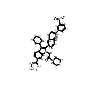 COC(=O)c1ccc2c(C3CCCCC3)c(-c3ccc4nc(-c5cccc([N+](=O)[O-])c5)ccc4c3)n(CC(=O)N3CCOCC3)c2c1